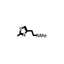 CNCCc1csc(C)n1